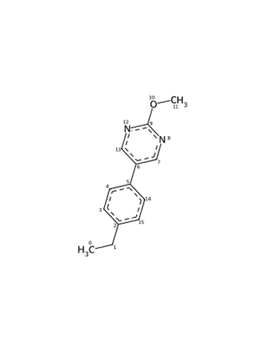 CCc1ccc(-c2cnc(OC)nc2)cc1